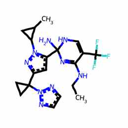 CCNC1=NC(N)(c2cc(C3(n4nccn4)CC3)nn2C2CC2C)NC=C1C(F)(F)F